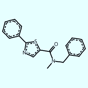 CN(Cc1ccccc1)C(=O)c1cnc(-c2ccccc2)s1